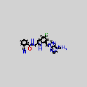 N#Cc1ccccc1C(=O)NCc1cc2cc(Cl)cc(Cn3cnc4c(N)ncnc43)c2[nH]1